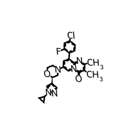 Cc1nc2c(-c3ccc(Cl)cc3F)cc(N3CCO[C@H](c4cnn(C5CC5)c4)C3)cn2c(=O)c1C